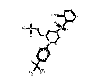 CCC(C)S(=O)(=O)NC[C@H]1CN(S(=O)(=O)C2=CC=CCC2=S)CCN1c1ccc(C(C)(O)C(F)(F)F)cc1